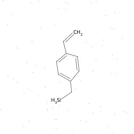 C=Cc1ccc(C[SiH3])cc1